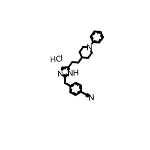 Cl.N#Cc1ccc(Cc2ncc(CCC3CCN(c4ccccc4)CC3)[nH]2)cc1